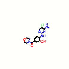 CNc1nc(Nc2ccc(C(=O)N3CCOCC3)cc2O)ncc1Cl